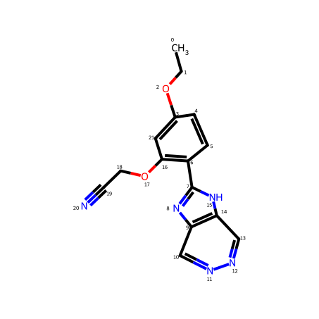 CCOc1ccc(-c2nc3cnncc3[nH]2)c(OCC#N)c1